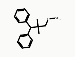 CC(C)(CO[SiH3])C(c1ccccc1)c1ccccc1